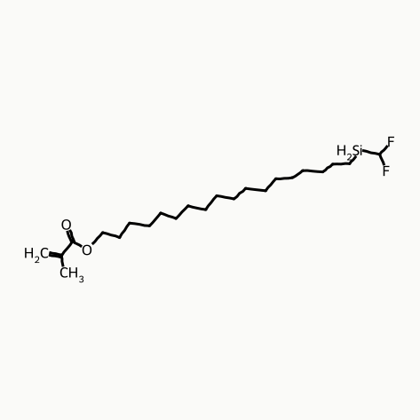 C=C(C)C(=O)OCCCCCCCCCCCCCCCCCC[SiH2]C(F)F